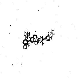 O=C1C=C(c2c(-n3cnnn3)ccc(Cl)c2F)CC2CC[C@@H](c3nc(-c4ccnc(OC(F)F)c4)c(F)[nH]3)N12